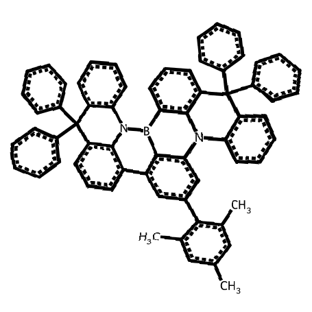 Cc1cc(C)c(-c2cc3c4c(c2)N2c5ccccc5C(c5ccccc5)(c5ccccc5)c5cccc(c52)B4N2c4ccccc4C(c4ccccc4)(c4ccccc4)c4cccc-3c42)c(C)c1